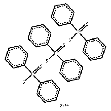 S=P([S-])(c1ccccc1)c1ccccc1.S=P([S-])(c1ccccc1)c1ccccc1.S=P([S-])(c1ccccc1)c1ccccc1.[Zr+3]